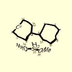 C1CCCC(C2CCCCCC2)CC1.CO[SiH2]OC